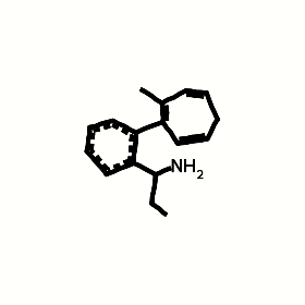 CCC(N)c1ccccc1C1=C(C)C=CCC=C1